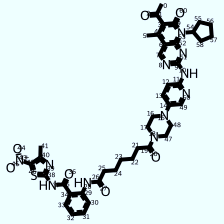 CC(=O)c1c(C)c2cnc(Nc3ccc(N4CCN(C(=O)CCCCCC(=O)Nc5ccccc5C(=O)Nc5nc(C)c([N+](=O)[O-])s5)CC4)cn3)nc2n(C2CCCC2)c1=O